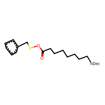 CCCCCCCCCCCCCCCCCC(=O)OSCc1ccccc1